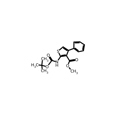 COC(=O)c1c(-c2ccccc2)csc1NC(=O)OC(C)(C)C